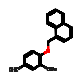 COc1cc(C=O)ccc1OCc1cccc2ccccc12